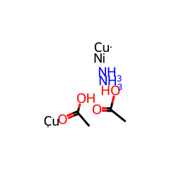 CC(=O)O.CC(=O)O.N.N.[Cu].[Cu].[Ni]